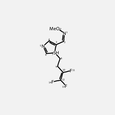 CO/N=C\C1=CN=C[SH]1CCC(F)=C(F)F